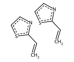 C=Cc1nccs1.C=Cc1nccs1